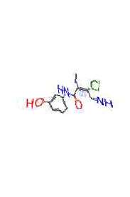 N=C/C(Cl)=C(/I)C(=O)Nc1cccc(O)c1